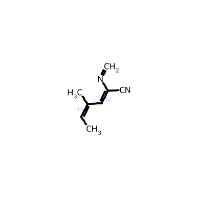 C=N/C(C#N)=C\C(C)=C/C